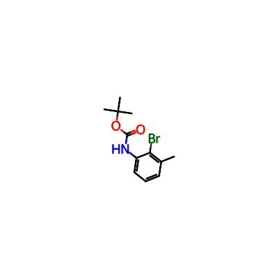 Cc1cccc(NC(=O)OC(C)(C)C)c1Br